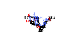 CCC(=O)NCCNC(=O)/N=C(/N)NCCC[C@@H](NC(=O)C(c1ccccc1)c1cccc(NCCCNC(=O)OC(C)(C)C)c1)C(=O)NCc1ccc(O)cc1